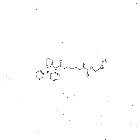 CC1=CC1COC(=O)NCCCCCC(=O)Oc1ccccc1P(c1ccccc1)c1ccccc1